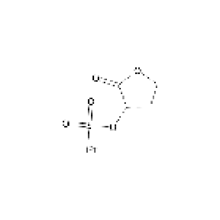 CC(C)S(=O)(=O)OC1CCOC1=O